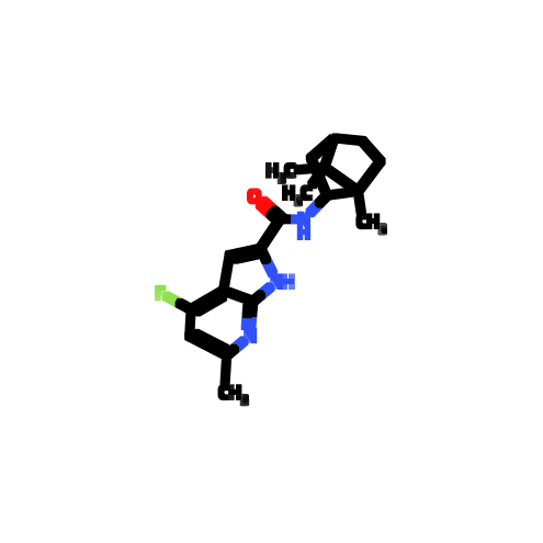 Cc1cc(F)c2cc(C(=O)NC3CC4CCC3(C)C4(C)C)[nH]c2n1